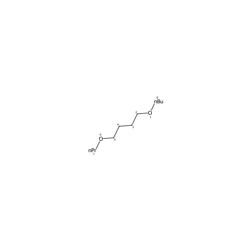 CCCCOCCCCOCCC